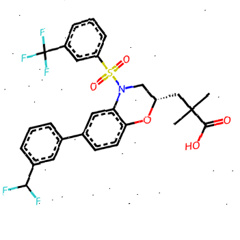 CC(C)(C[C@H]1CN(S(=O)(=O)c2cccc(C(F)(F)F)c2)c2cc(-c3cccc(C(F)F)c3)ccc2O1)C(=O)O